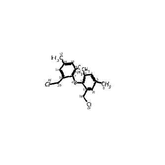 Cc1cc(C)c([B]c2c(C)cc(C)cc2CCl)c(CCl)c1